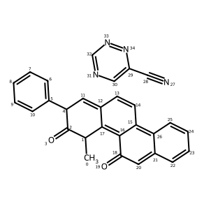 CC1C(=O)C(c2ccccc2)C=c2ccc3c(c21)C(=O)C=c1ccccc1=3.N#Cc1cncnn1